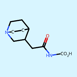 O=C(O)NC(=O)CC1CN2CCC1CC2